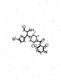 NC(C=O)C(c1ccc(Br)s1)N1CCN(C(=O)c2c(Cl)ncc(F)c2Cl)CC1